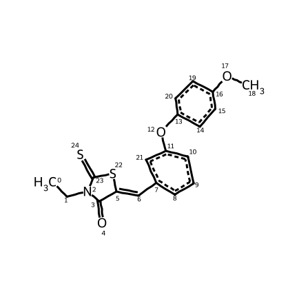 CCN1C(=O)C(=Cc2cccc(Oc3ccc(OC)cc3)c2)SC1=S